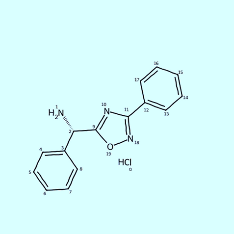 Cl.N[C@@H](c1ccccc1)c1nc(-c2ccccc2)no1